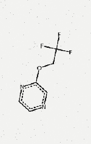 FC(F)(F)COc1cnccn1